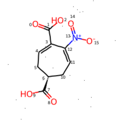 O=C(O)C1=CC[C@H](C(=O)O)CC=C1[N+](=O)[O-]